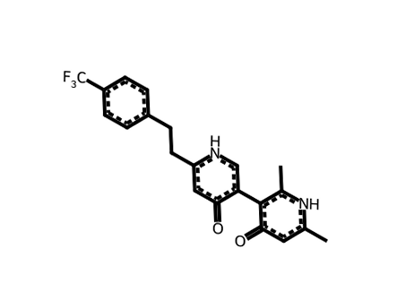 Cc1cc(=O)c(-c2c[nH]c(CCc3ccc(C(F)(F)F)cc3)cc2=O)c(C)[nH]1